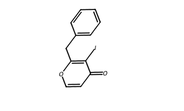 O=c1ccoc(Cc2ccccc2)c1I